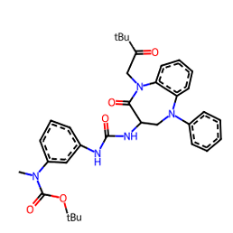 CN(C(=O)OC(C)(C)C)c1cccc(NC(=O)NC2CN(c3ccccc3)c3ccccc3N(CC(=O)C(C)(C)C)C2=O)c1